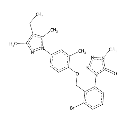 CCc1c(C)nn(-c2ccc(OCc3c(Br)cccc3-n3nnn(C)c3=O)c(C)c2)c1C